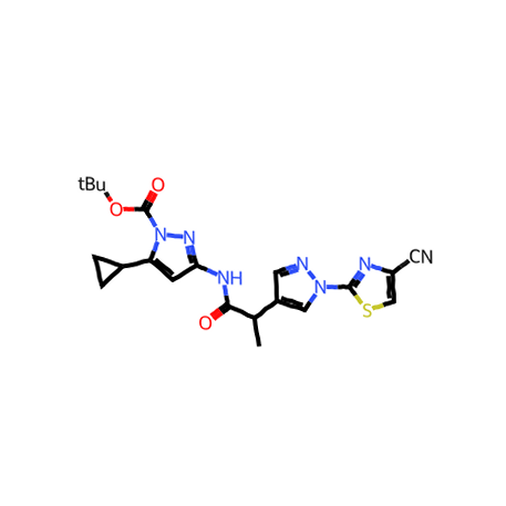 CC(C(=O)Nc1cc(C2CC2)n(C(=O)OC(C)(C)C)n1)c1cnn(-c2nc(C#N)cs2)c1